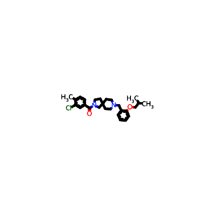 Cc1ccc(C(=O)N2CCC3(CCN(Cc4ccccc4OCC(C)C)CC3)C2)cc1Cl